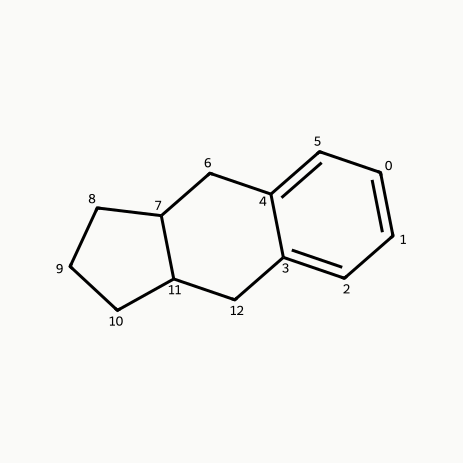 c1ccc2c(c1)CC1CCCC1C2